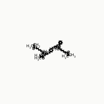 C=C(C)C(=O)OCCCCCNC(=O)OC(COCC1CCC(COCC(COc2ccccc2)OC(=O)NCCCCCOC(=O)C(=C)C)CC1)COC(=O)C(=C)C